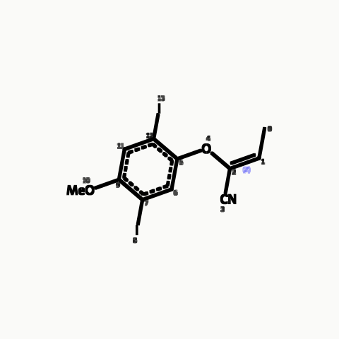 C/C=C(/C#N)Oc1cc(I)c(OC)cc1I